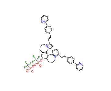 C(=Cc1cccc2[n+]1CCCc1ccc3c(c1-2)-c1cccc(C=Cc2ccc(-c4ccccn4)cc2)[n+]1CCC3)c1ccc(-c2ccccn2)cc1.O=S(=O)([O-])C(F)(F)F.O=S(=O)([O-])C(F)(F)F